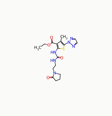 CCOC(=O)c1c(NC(=O)NCCN2CCCC2=O)sc(-n2nccn2)c1C